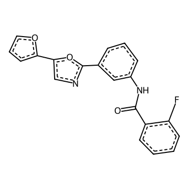 O=C(Nc1cccc(-c2ncc(-c3ccco3)o2)c1)c1ccccc1F